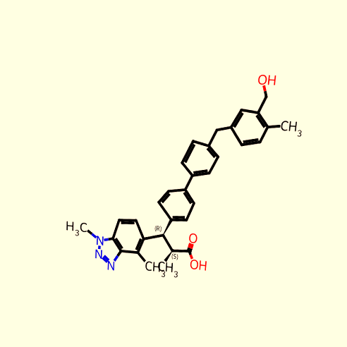 Cc1ccc(Cc2ccc(-c3ccc([C@H](c4ccc5c(nnn5C)c4C)[C@H](C)C(=O)O)cc3)cc2)cc1CO